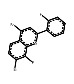 Fc1ccccc1-c1cc(Br)c2ccc(Br)c(F)c2n1